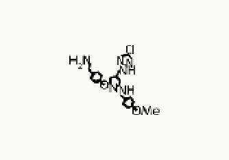 COc1ccc(CNc2cc(CNc3ncc(Cl)cn3)cc(Oc3ccc(CCN)cc3)n2)cc1